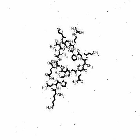 CC(C)[C@H](NC(=O)[C@H](CCCCN)NC(=O)[C@H](CCCNC(=N)N)NC(=O)[C@@H]1CCCN1C(=O)[C@H](CCCCN)NC(=O)[C@H](C)NC(=O)[C@H](CCC(N)=O)NC(=O)CNC(=O)[C@@H](NC(=O)[C@@H]1CCCN1C(=O)[C@H](CCC(=O)O)NC(=O)[C@@H](N)CCCCN)C(C)C)C(=O)N[C@@H](C)C(=O)N[C@@H](C)C(=O)N[C@@H](CCC(N)=O)C(=O)O